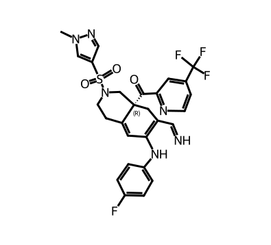 Cn1cc(S(=O)(=O)N2CCC3=CC(Nc4ccc(F)cc4)=C(C=N)C[C@]3(C(=O)c3cc(C(F)(F)F)ccn3)C2)cn1